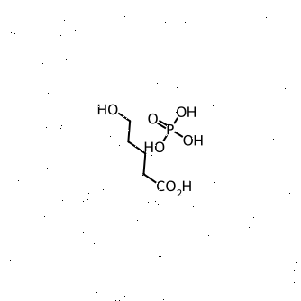 O=C(O)CCCCO.O=P(O)(O)O